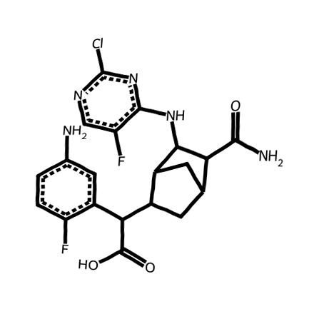 NC(=O)C1C2CC(C(C(=O)O)c3cc(N)ccc3F)C(C2)C1Nc1nc(Cl)ncc1F